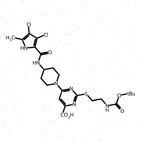 Cc1[nH]c(C(=O)NC2CCN(c3cc(C(=O)O)nc(SCCNC(=O)OC(C)(C)C)n3)CC2)c(Cl)c1Cl